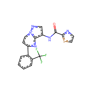 O=C(Nc1cnn2ccc(-c3ccccc3C(F)(F)F)nc12)c1nccs1